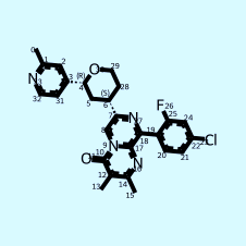 Cc1cc([C@H]2C[C@@H](c3cn4c(=O)c(C)c(C)nc4c(-c4ccc(Cl)cc4F)n3)CCO2)ccn1